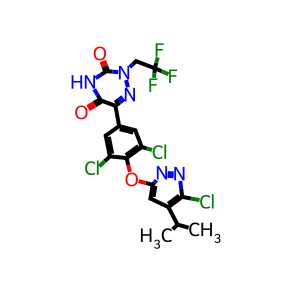 CC(C)c1cc(Oc2c(Cl)cc(-c3nn(CC(F)(F)F)c(=O)[nH]c3=O)cc2Cl)nnc1Cl